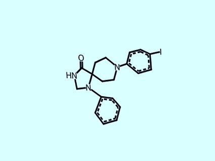 O=C1NCN(c2ccccc2)C12CCN(c1ccc(I)cc1)CC2